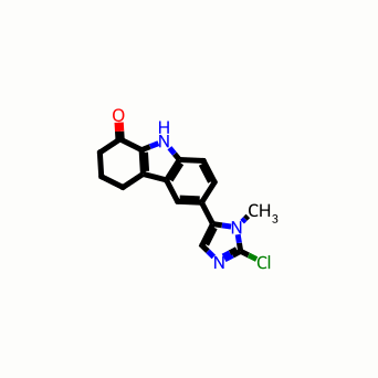 Cn1c(-c2ccc3[nH]c4c(c3c2)CCCC4=O)cnc1Cl